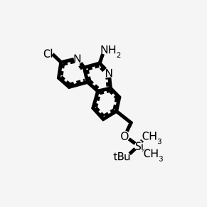 CC(C)(C)[Si](C)(C)OCc1ccc2c(c1)nc(N)c1nc(Cl)ccc12